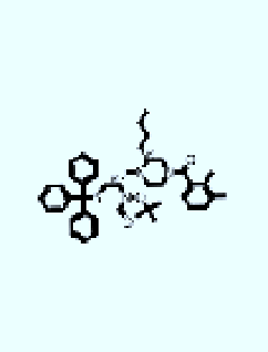 CCCC[C@H]1CN(C(=O)c2cccc(C)c2C)CCN1C[C@@H](CSC(c1ccccc1)(c1ccccc1)c1ccccc1)N(C=O)OC(C)(C)C